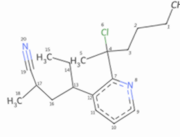 CCCCC(C)(Cl)c1ncccc1C(CC)CC(C)C#N